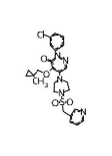 CC1(COc2c(N3CCN(S(=O)(=O)Cc4cccnc4)CC3)cnn(-c3cccc(Cl)c3)c2=O)CC1